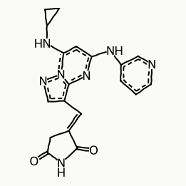 O=C1C/C(=C\c2cnn3c(NC4CC4)cc(Nc4cccnc4)nc23)C(=O)N1